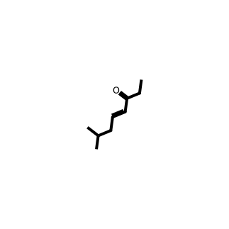 CCC(=O)C=CCC(C)C